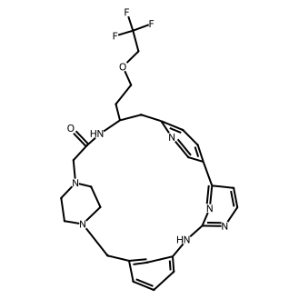 O=C1CN2CCN(CC2)Cc2cccc(c2)Nc2nccc(n2)-c2ccc(nc2)CC(CCOCC(F)(F)F)N1